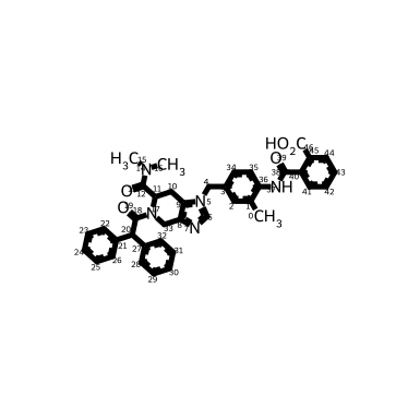 Cc1cc(Cn2cnc3c2CC(C(=O)N(C)C)N(C(=O)C(c2ccccc2)c2ccccc2)C3)ccc1NC(=O)c1ccccc1C(=O)O